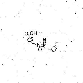 O=C(O)c1ccc(CCCNC(=O)C(O)CCCc2cccc(Cl)c2)s1